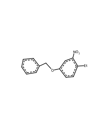 [CH2]Cc1ccc(OCc2ccccc2)cc1[N+](=O)[O-]